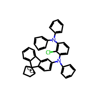 Clc1c(N(c2ccccc2)c2ccccc2)cccc1N(c1ccccc1)c1ccc2c(c1)-c1ccccc1C21C2CCC1CC2